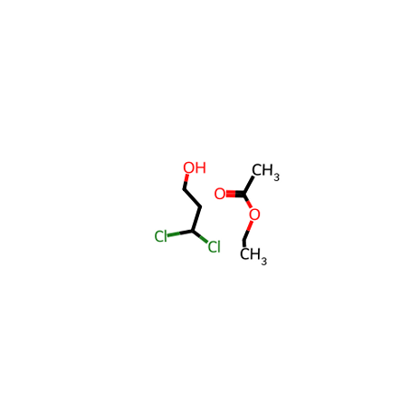 CCOC(C)=O.OCCC(Cl)Cl